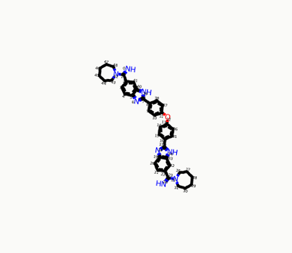 N=C(c1ccc2nc(-c3ccc(Oc4ccc(-c5nc6ccc(C(=N)N7CCCCCC7)cc6[nH]5)cc4)cc3)[nH]c2c1)N1CCCCCC1